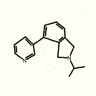 CC(C)N1Cc2cccc(-c3cccnc3)c2C1